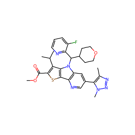 COC(=O)c1sc2c3ncc(-c4c(C)nnn4C)cc3n(C(c3ncccc3F)C3CCOCC3)c2c1C(C)C